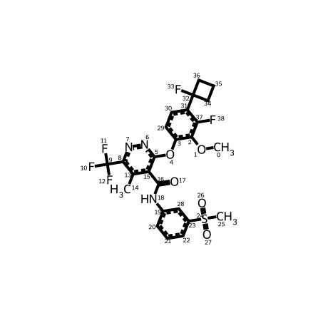 COc1c(Oc2nnc(C(F)(F)F)c(C)c2C(=O)Nc2cccc(S(C)(=O)=O)c2)ccc(C2(F)CCC2)c1F